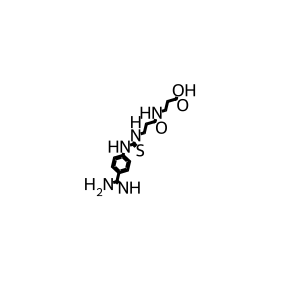 N=C(N)c1ccc(NC(=S)NCCC(=O)NCCC(=O)O)cc1